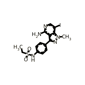 CCS(=O)(=O)Nc1ccc(-c2nn(C)c3c(I)cnc(N)c23)cc1